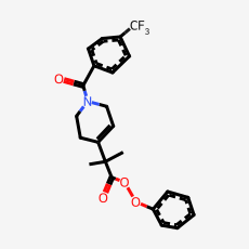 CC(C)(C(=O)OOc1ccccc1)C1=CCN(C(=O)c2ccc(C(F)(F)F)cc2)CC1